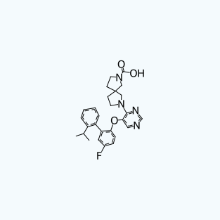 CC(C)c1ccccc1-c1cc(F)ccc1Oc1cncnc1N1CCC2(CCN(C(=O)O)C2)C1